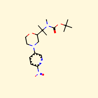 CN(C(=O)OC(C)(C)C)C(C)(C)C1CN(c2ccc([N+](=O)[O-])nc2)CCO1